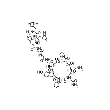 NC(=O)CC[C@@H]1NC(=O)[C@H](Cc2ccccc2)NC(=O)[C@@H](Cc2ccc(O)cc2)NC(=O)[C@@H](NC(=O)CNC(=O)CNC(=O)CNC(=O)C(Cc2cnc[nH]2)NC[C@@](C=O)(Cc2cnc[nH]2)NC(=O)[C@@H](N)Cc2cnc[nH]2)CSSC[C@@H](C(=O)N2CCC[C@H]2C=O)NC(O)[C@H](CC(N)=O)NC1=O